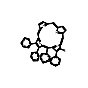 BrC1=C(c2ccccc2)C2=NC1=CC1=NC(=CC3=NC(=CC4=NC(=C2c2ccccc2)C(c2ccccc2)=C4c2ccccc2)C=C3)C=C1